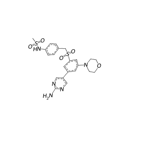 CS(=O)(=O)Nc1ccc(CS(=O)(=O)c2cc(-c3cnc(N)nc3)cc(N3CCOCC3)c2)cc1